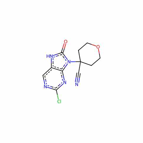 N#CC1(n2c(=O)[nH]c3cnc(Cl)nc32)CCOCC1